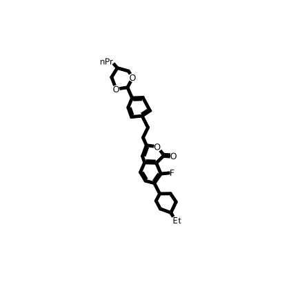 CCCC1COC(c2ccc(CCc3cc4ccc(C5CCC(CC)CC5)c(F)c4c(=O)o3)cc2)OC1